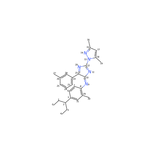 CCC(CC)c1ccc(/N=C2/N=C(n3nc(C)cc3C)N=C2c2cccc(C)c2)c(C)c1